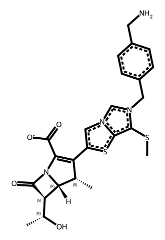 CSc1c2sc(C3=C(C(=O)[O-])N4C(=O)[C@H]([C@@H](C)O)[C@H]4[C@H]3C)c[n+]2cn1Cc1ccc(CN)cc1